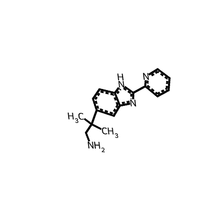 CC(C)(CN)c1ccc2[nH]c(-c3ccccn3)nc2c1